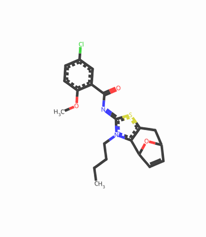 CCCCn1c2c(s/c1=N\C(=O)c1cc(Cl)ccc1OC)CC1C=CC2O1